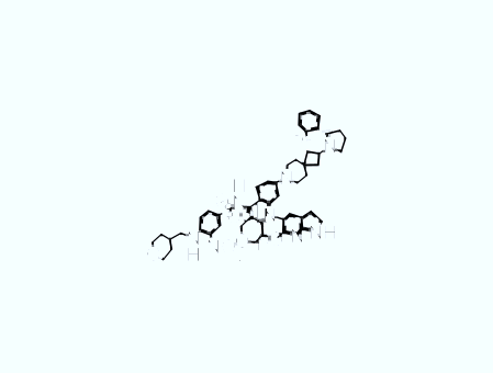 CC(C)c1ccccc1[C@@H]1CCCN1C1CC2(CCN(c3ccc(C(=O)NS(=O)(=O)c4ccc(NCC5CCOCC5)c([N+](=O)[O-])c4)c(N4c5cc6cc[nH]c6nc5O[C@@H]5COCC[C@H]54)c3)CC2)C1